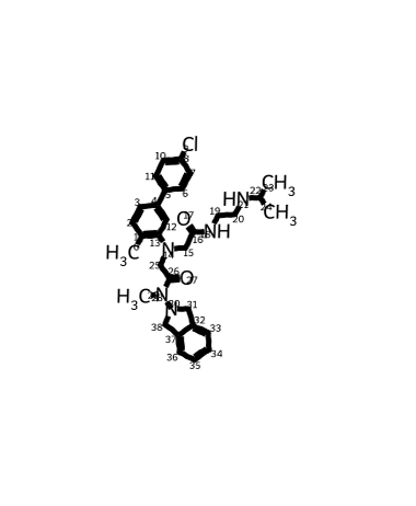 Cc1ccc(-c2ccc(Cl)cc2)cc1N(CC(=O)NCCNC(C)C)CC(=O)N(C)N1Cc2ccccc2C1